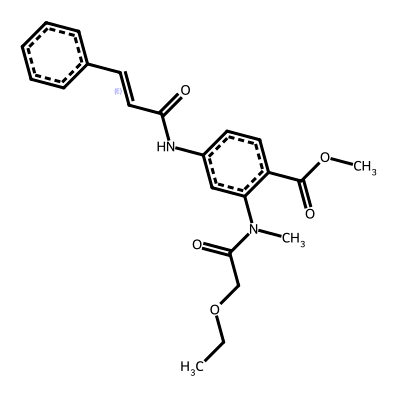 CCOCC(=O)N(C)c1cc(NC(=O)/C=C/c2ccccc2)ccc1C(=O)OC